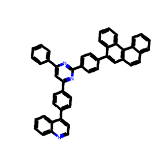 c1ccc(-c2cc(-c3ccc(-c4ccnc5ccccc45)cc3)nc(-c3ccc(-c4cc5ccc6ccccc6c5c5ccccc45)cc3)n2)cc1